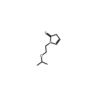 CC(C)OCCN1C=CCC1=S